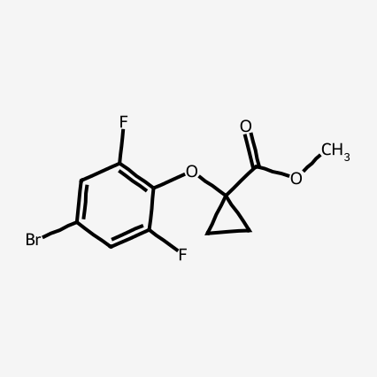 COC(=O)C1(Oc2c(F)cc(Br)cc2F)CC1